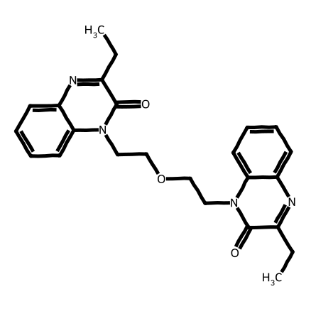 CCc1nc2ccccc2n(CCOCCn2c(=O)c(CC)nc3ccccc32)c1=O